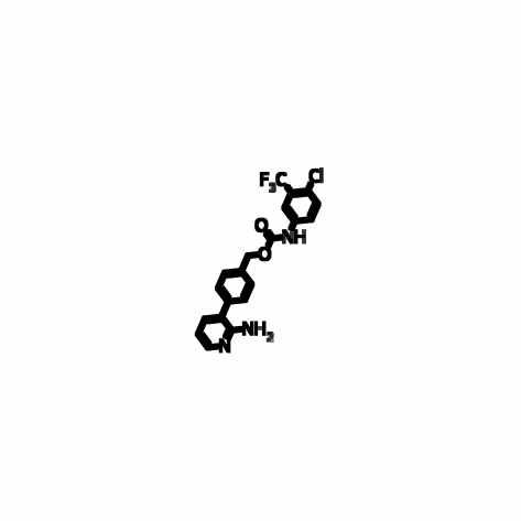 Nc1ncccc1-c1ccc(COC(=O)Nc2ccc(Cl)c(C(F)(F)F)c2)cc1